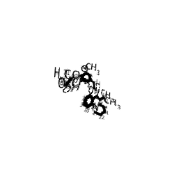 COc1cc(CC(=O)NC(CC(C)C)c2ccccc2N2CCCCC2)ccc1OC(C)(C)C(=O)O